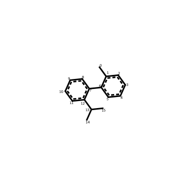 Cc1ccccc1-c1ccccc1C(C)C